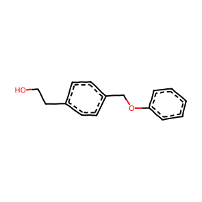 OCCc1ccc(COc2ccccc2)cc1